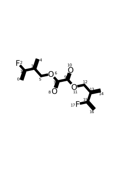 C=C(F)C(=C)COC(=O)C(=O)OCC(=C)C(=C)F